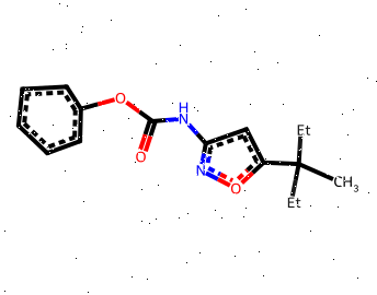 CCC(C)(CC)c1cc(NC(=O)Oc2ccccc2)no1